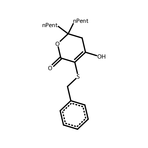 CCCCCC1(CCCCC)CC(O)=C(SCc2ccccc2)C(=O)O1